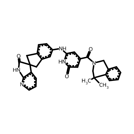 CC1(C)CN(C(=O)c2cc(Nc3ccc4c(c3)CC3(C4)C(=O)Nc4ncccc43)[nH]c(=O)c2)Cc2ccccc21